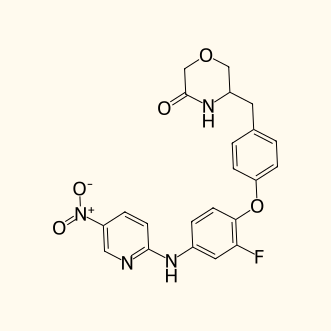 O=C1COCC(Cc2ccc(Oc3ccc(Nc4ccc([N+](=O)[O-])cn4)cc3F)cc2)N1